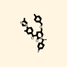 Cc1ccc(COCc2cc(C(=O)c3ccc(-n4cnc(C)c4)c(C)c3)c(=O)n([C@@H](C)c3ccc(F)cc3)c2)cc1